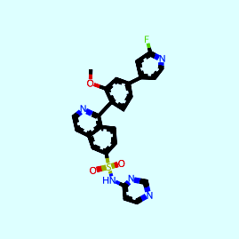 COc1cc(-c2ccnc(F)c2)ccc1-c1nccc2cc(S(=O)(=O)Nc3ccncn3)ccc12